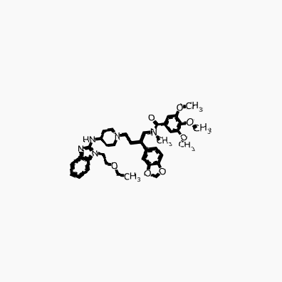 CCOCCn1c(NC2CCN(CCC(CN(C)C(=O)c3cc(OC)c(OC)c(OC)c3)c3ccc4c(c3)OCO4)CC2)nc2ccccc21